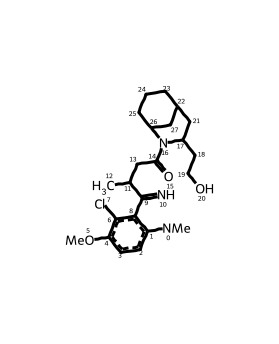 CNc1ccc(OC)c(Cl)c1C(=N)C(C)CC(=O)N1C(CCO)CC2CCCC1C2